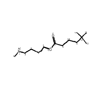 CNCCCCOC(=O)CCCC(C)(C)C